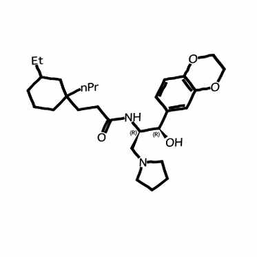 CCCC1(CCC(=O)N[C@H](CN2CCCC2)[C@H](O)c2ccc3c(c2)OCCO3)CCCC(CC)C1